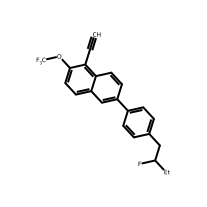 C#Cc1c(OC(F)(F)F)ccc2cc(-c3ccc(CC(F)CC)cc3)ccc12